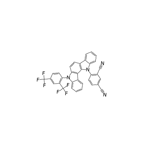 N#Cc1ccc(-n2c3ccccc3c3ccc4c(c5ccccc5n4-c4ccc(C(F)(F)F)cc4C(F)(F)F)c32)c(C#N)c1